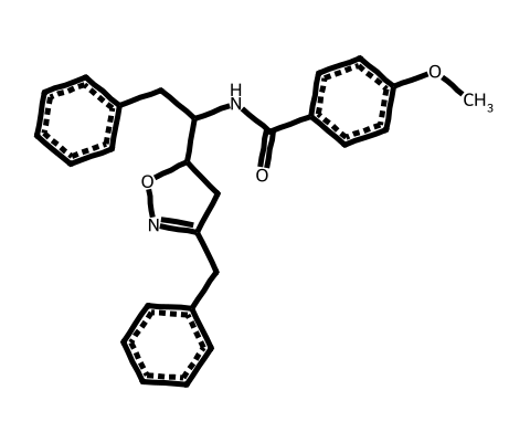 COc1ccc(C(=O)NC(Cc2ccccc2)C2CC(Cc3ccccc3)=NO2)cc1